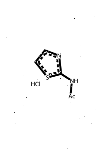 CC(=O)Nc1nccs1.Cl